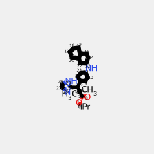 CC(C)OC(=O)C(C)(C)C(c1ccc(Nc2ccc3ccccc3c2)cc1)c1ncc[nH]1